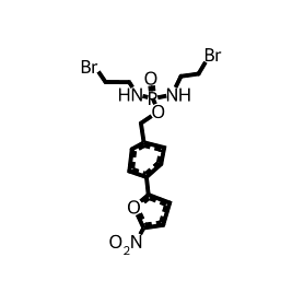 O=[N+]([O-])c1ccc(-c2ccc(COP(=O)(NCCBr)NCCBr)cc2)o1